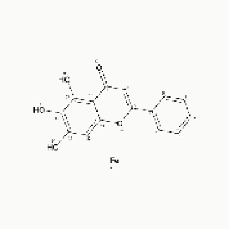 O=c1cc(-c2ccccc2)oc2cc(O)c(O)c(O)c12.[Fe]